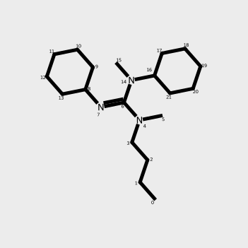 CCCCN(C)/C(=N/C1CCCCC1)N(C)C1CCCCC1